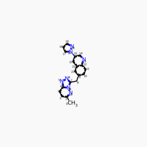 Cc1ccc2nnc(Cc3ccc4ncc(-n5cccn5)cc4c3)n2n1